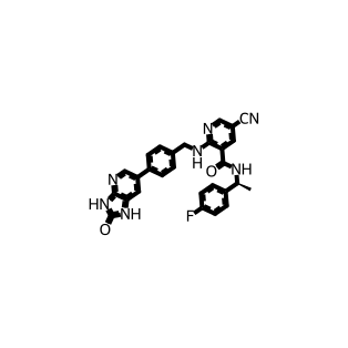 C[C@H](NC(=O)c1cc(C#N)cnc1NCc1ccc(-c2cnc3[nH]c(=O)[nH]c3c2)cc1)c1ccc(F)cc1